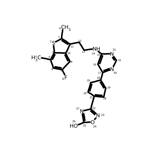 Cc1sc2c(C)cc(F)cc2c1CCNc1cc(-c2ccc(-c3noc(O)n3)cc2)ncn1